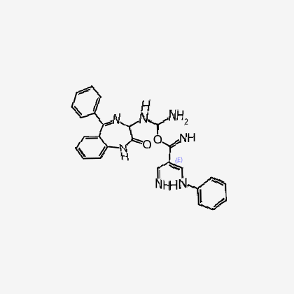 N=C/C(=C\Nc1ccccc1)C(=N)OC(N)NC1N=C(c2ccccc2)c2ccccc2NC1=O